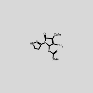 COC(=O)OC1C(C)=C(OC)C(=O)N1C1=NNCC1